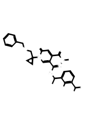 CC(Nc1nn(C)c(=O)c2cc(=O)n(C3(COCc4ccccc4)CC3)cc12)c1cccc(C(F)F)c1F